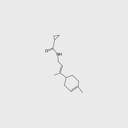 CC1=CCC(/C(C)=C/CNC(=O)C2CC2)CC1